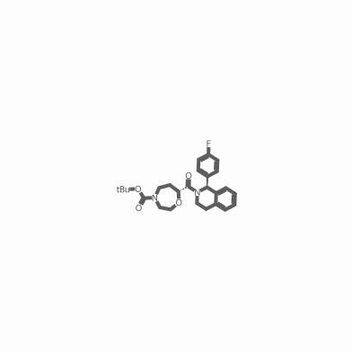 CC(C)(C)OC(=O)N1CCO[C@@H](C(=O)N2CCc3ccccc3[C@@H]2c2ccc(F)cc2)CC1